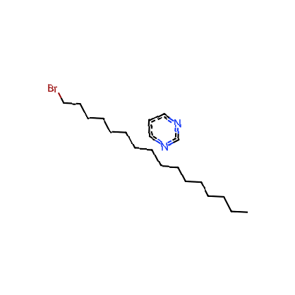 CCCCCCCCCCCCCCCCBr.c1cncnc1